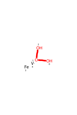 OOO.[Fe].[V]